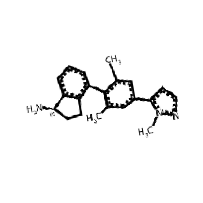 Cc1cc(-c2ccnn2C)cc(C)c1-c1cccc2c1CC[C@H]2N